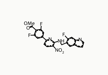 COC(=O)c1c(F)cc(-c2ccc([N+](=O)[O-])c(NCc3cc4cccnc4cc3F)n2)cc1F